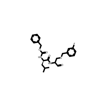 CC(C)C[C@@H](NC(=O)OCc1ccccc1)C(=O)NC(C=O)CSCc1cccc(F)c1